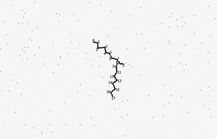 CCCCCCCCP(C)CCCCCCCC